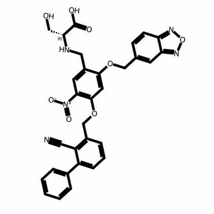 N#Cc1c(COc2cc(OCc3ccc4nonc4c3)c(CN[C@H](CO)C(=O)O)cc2[N+](=O)[O-])cccc1-c1ccccc1